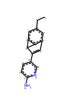 CCc1cc2c3c(c1)C3C(c1ccc(N)nc1)=C2